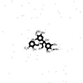 CCCCOc1c(C(C)(C)C)cc(C(O)(c2cc(C(C)(C)C)c(OCCCC)c(C(C)(C)C)c2)C(CC(C)C)N=Cc2cccc([N+](=O)[O-])c2O)cc1C(C)(C)C